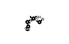 CCc1cc(CN)c(OCc2cccc(C#N)c2)cc1OCc1cccc(-c2ccc3c(c2)OCCO3)c1C